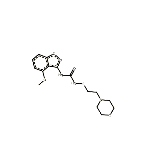 COc1cccc2onc(NC(=O)NSCCN3CCOCC3)c12